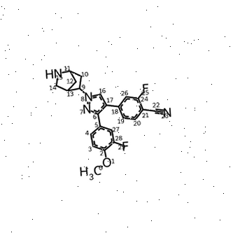 COc1ccc(-c2nn(C3CC4CC3CN4)cc2-c2ccc(C#N)c(F)c2)cc1F